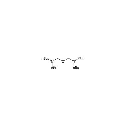 CCCCN(CCCC)COCN(CCCC)CCCC